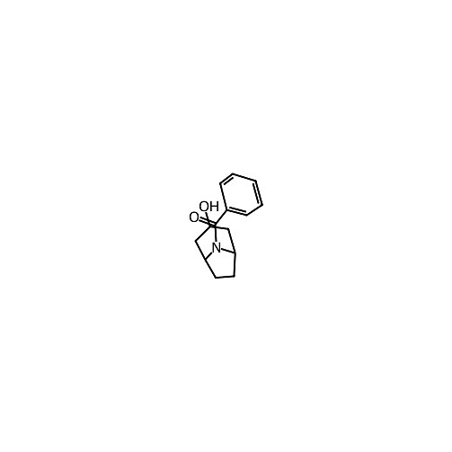 O=C(c1ccccc1)N1C2CCC1CC(O)C2